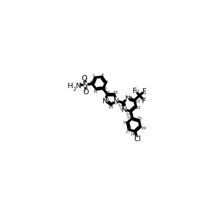 NS(=O)(=O)c1cccc(-c2cn(-c3nc(-c4ccc(Cl)cc4)cc(C(F)(F)F)n3)cn2)c1